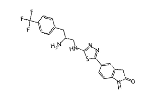 NC(CNc1nnc(-c2ccc3c(c2)CC(=O)N3)s1)Cc1ccc(C(F)(F)F)cc1